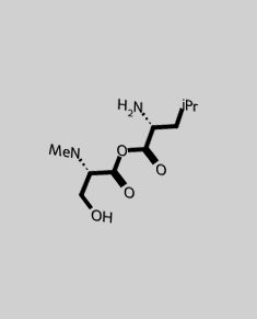 CN[C@@H](CO)C(=O)OC(=O)[C@H](N)CC(C)C